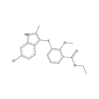 CCOC(=O)c1cccc(Sc2c(C)[nH]c3cc(Cl)ccc23)c1OC